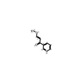 CCO/C=C/C(=O)c1cccnc1